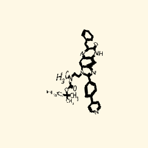 CN(CCn1c(-c2ccc(-c3ccncc3)cc2)nc2cc3[nH]c(=O)c(Cc4ccccc4)nc3cc21)C(=O)OC(C)(C)C